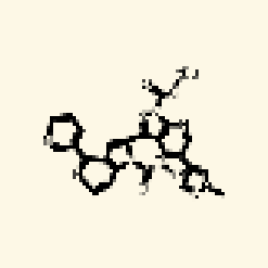 Cn1cc(-c2cnc3c(c2)c(-c2cc4c(-c5cccnc5)nccc4n2C(=O)OC(C)(C)C)nn3C(=O)OC(C)(C)C)cn1